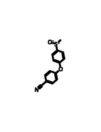 C[S+]([O-])c1ccc(Oc2ccc(C#N)cc2)cc1